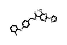 Cc1ccccc1Oc1ccc(CNC(=O)c2cnc(-n3cccn3)nc2O)cc1